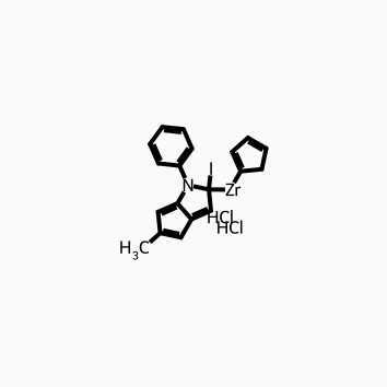 CC1=CC2=C[C](I)([Zr][C]3=CC=CC3)N(c3ccccc3)C2=C1.Cl.Cl